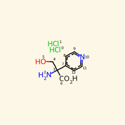 Cl.Cl.NC(CO)(C(=O)O)c1ccncc1